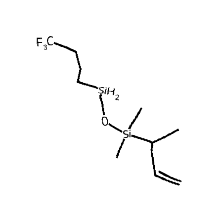 C=CC(C)[Si](C)(C)O[SiH2]CCC(F)(F)F